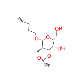 C#CCCCO[C@@H]1O[C@H](CO)[C@H](O)[C@H](OC(=O)C(C)C)[C@H]1C